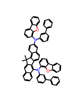 CC1(C)c2cc3ccccc3c(N(c3cccc(-c4ccccc4)c3)c3cccc4c3oc3ccccc34)c2-c2ccc3cc(N(c4cccc(-c5ccccc5)c4)c4cccc5c4oc4ccccc45)ccc3c21